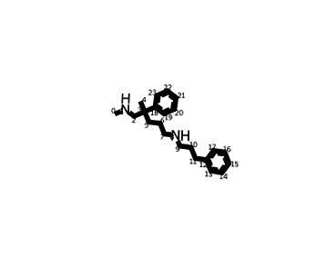 CNCC(C)(CCCNCCCc1ccccc1)c1ccccc1